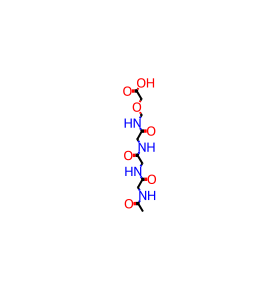 CC(=O)NCC(=O)NCC(=O)NCC(=O)NCOCC(=O)O